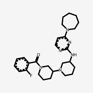 O=C(c1ccccc1F)N1CCCC(N2CCCC(Nc3nccc(N4CCCCCC4)n3)C2)C1